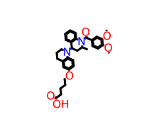 COc1ccc(C(=O)N2c3ccccc3C(N3CCCc4cc(OCCCCC(=O)O)ccc43)CC2C)cc1OC